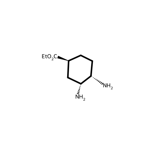 CCOC(=O)[C@H]1CC[C@H](N)[C@H](N)C1